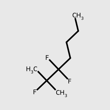 CCCCC(F)(F)C(C)(C)F